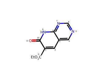 CCOC(=O)c1cc2cncnc2[nH]c1=O